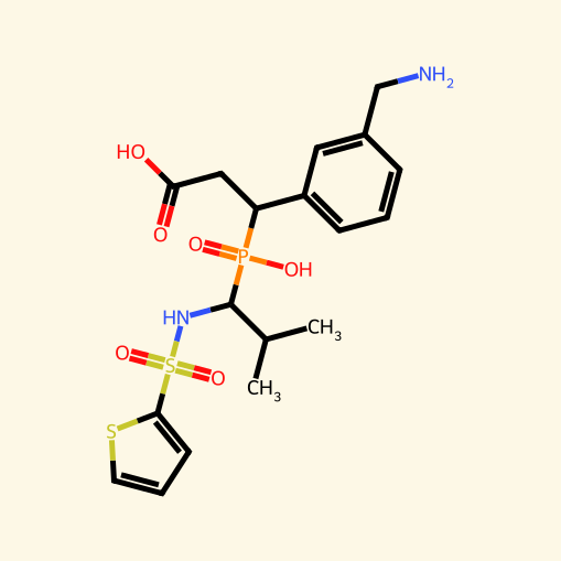 CC(C)C(NS(=O)(=O)c1cccs1)P(=O)(O)C(CC(=O)O)c1cccc(CN)c1